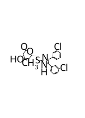 CC1(O)CC(=O)O[C@H](CSc2nc(-c3cccc(Cl)c3)c(-c3cccc(Cl)c3)[nH]2)C1